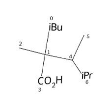 CCC(C)C(C)(C(=O)O)C(C)C(C)C